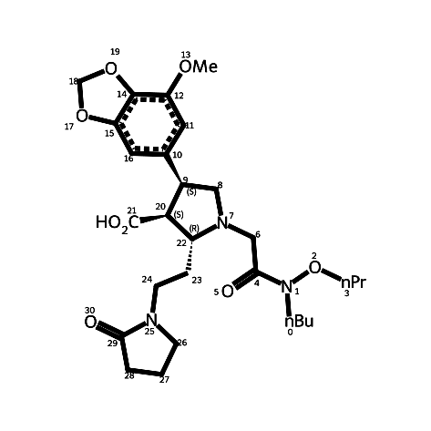 CCCCN(OCCC)C(=O)CN1C[C@H](c2cc(OC)c3c(c2)OCO3)[C@H](C(=O)O)[C@H]1CCN1CCCC1=O